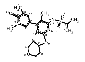 Cc1c(NS(=O)(=O)C(C)C)nc(OC2CCOCC2)nc1-c1cc(C)c(=O)n(C)c1